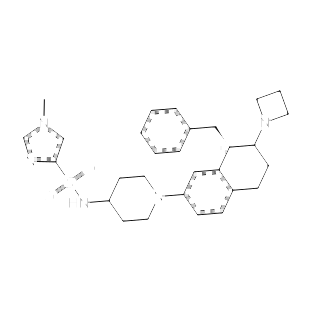 Cn1cnc(S(=O)(=O)NC2CCN(c3ccc4c(c3)[C@@H](Cc3ccccc3)C(N3CCC3)CC4)CC2)c1